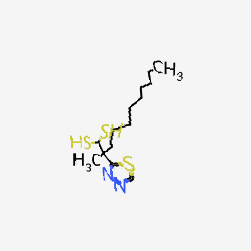 CCCCCCCCCC(C)(c1nncs1)C(S)S